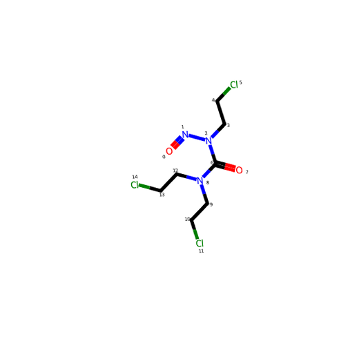 O=NN(CCCl)C(=O)N(CCCl)CCCl